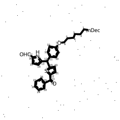 CCCCCCCCCCCCCCCCOc1ccc(C(c2ccc(C=O)[nH]2)c2ccc(C(=O)c3ccccc3)s2)cc1